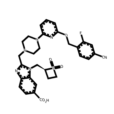 N#Cc1ccc(COc2cccc(N3CCN(Cc4nc5ccc(C(=O)O)cc5n4C[C@@H]4CCS4(=O)=O)CC3)n2)c(F)c1